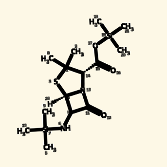 CC1(C)S[C@@H]2C(N[Si](C)(C)C)C(=O)N2[C@H]1C(=O)O[Si](C)(C)C